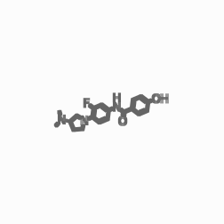 CN(C)[C@@H]1CCN(c2ccc(NC(=O)c3ccc(O)cc3)cc2F)C1